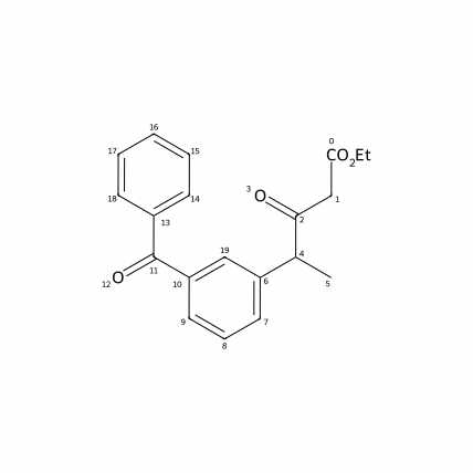 CCOC(=O)CC(=O)C(C)c1cccc(C(=O)c2ccccc2)c1